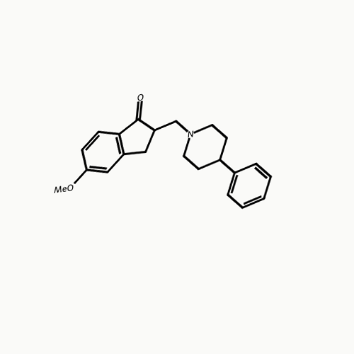 COc1ccc2c(c1)CC(CN1CCC(c3ccccc3)CC1)C2=O